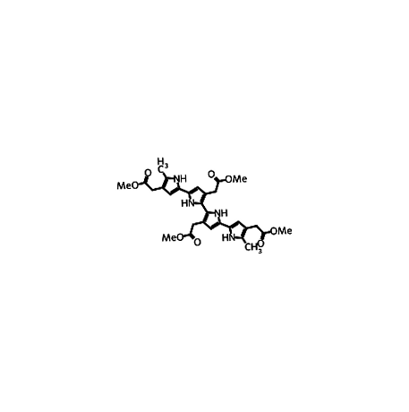 COC(=O)Cc1cc(-c2cc(CC(=O)OC)c(-c3[nH]c(-c4cc(CC(=O)OC)c(C)[nH]4)cc3CC(=O)OC)[nH]2)[nH]c1C